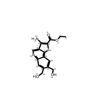 CCOC(=O)c1sc2c(cnc3cc(CO)c(CO)cc32)c1N